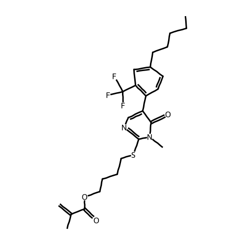 C=C(C)C(=O)OCCCCSc1ncc(-c2ccc(CCCCC)cc2C(F)(F)F)c(=O)n1C